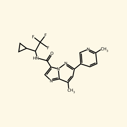 Cc1ccc(-c2cc(C)c3ncc(C(=O)NC(C4CC4)C(F)(F)F)n3n2)cn1